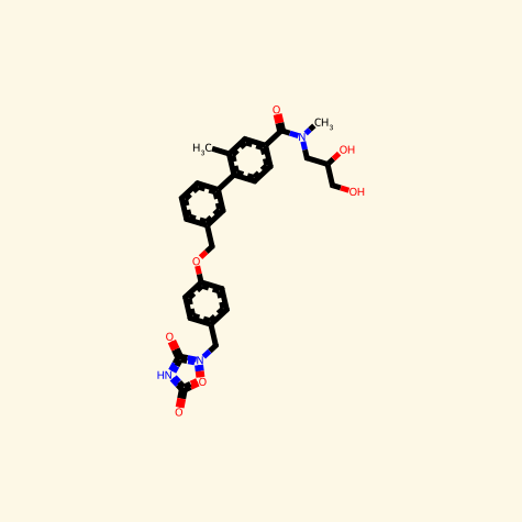 Cc1cc(C(=O)N(C)CC(O)CO)ccc1-c1cccc(COc2ccc(Cn3oc(=O)[nH]c3=O)cc2)c1